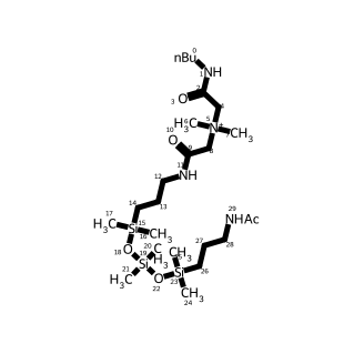 CCCCNC(=O)C[N+](C)(C)CC(=O)NCCC[Si](C)(C)O[Si](C)(C)O[Si](C)(C)CCCNC(C)=O